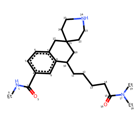 CCNC(=O)c1ccc2c(c1)C(CCCCC(=O)N(CC)CC)CC1(CCNCC1)C2